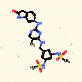 CS(=O)(=O)Nc1cc(CNc2nc(Nc3ccc4c(c3)NC(=O)C4)ncc2C(F)(F)F)cc(NS(C)(=O)=O)c1